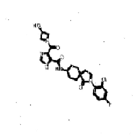 O=C(NC1CCC2(CC1)CCN(c1ccc(F)cc1Cl)C2=O)c1[nH]cnc1C(=O)N1CC(O)C1